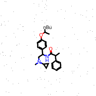 CCCCC(C)Oc1ccc(C(CN(C)C2CC2)NC(=O)C(C)c2ccccc2)cc1